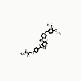 CNC(=O)COc1ccc(-c2nc3c(NC4CCN(Cc5ccc(OC)c(OC)c5)CC4)c(Cl)cnc3[nH]2)cc1